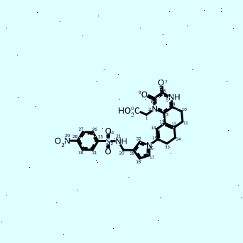 O=C(O)Cn1c2c([nH]c(=O)c1=O)CCC1=C2C=C(n2ccc(CNS(=O)(=O)c3ccc([N+](=O)[O-])cc3)c2)CC1